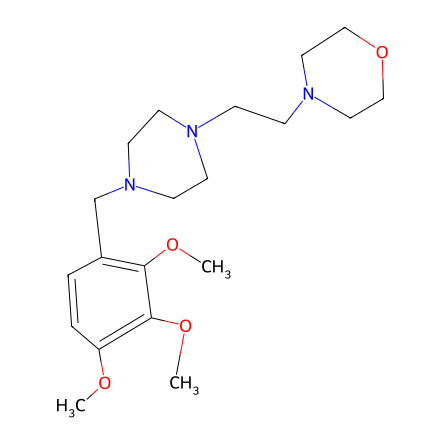 COc1ccc(CN2CCN(CCN3CCOCC3)CC2)c(OC)c1OC